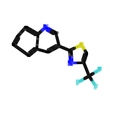 FC(F)(F)c1csc(-c2[c]nc3ccccc3c2)n1